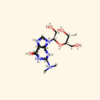 C[C@@H](O)[C@@H](CO)O[C@H](CO)n1cnc2c(=O)[nH]c(N(C)C)nc21